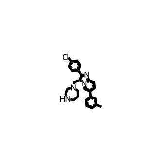 Cc1cccc(-c2ccc3nc(-c4ccc(Cl)cc4)c(CN4CCCNCC4)n3c2)c1